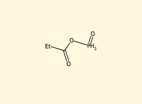 CCC(=O)O[PH2]=O